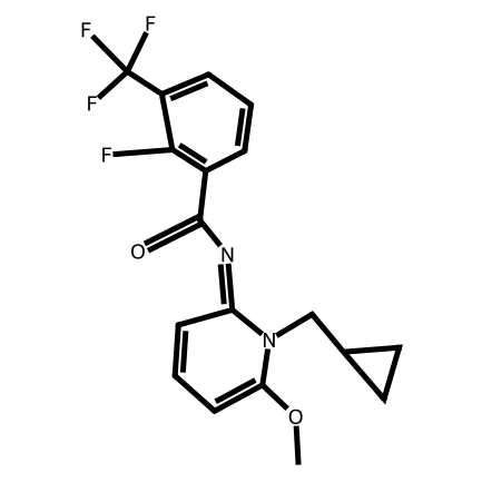 COc1ccc/c(=N\C(=O)c2cccc(C(F)(F)F)c2F)n1CC1CC1